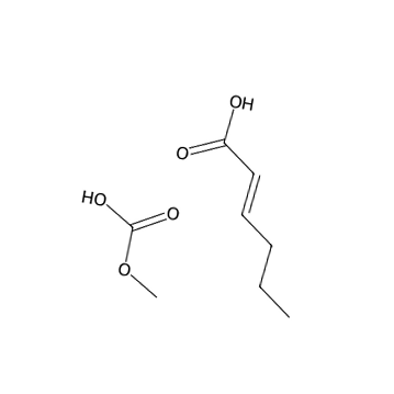 CCCC=CC(=O)O.COC(=O)O